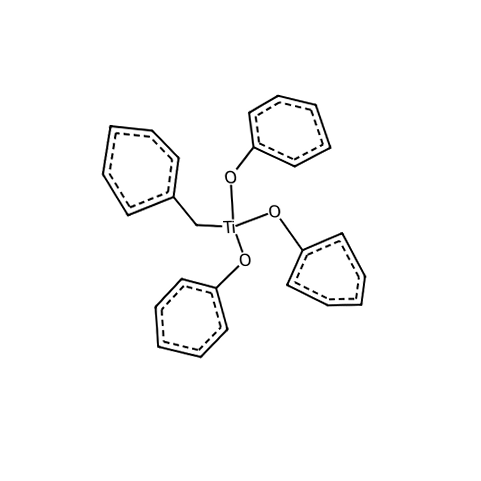 c1ccc([CH2][Ti]([O]c2ccccc2)([O]c2ccccc2)[O]c2ccccc2)cc1